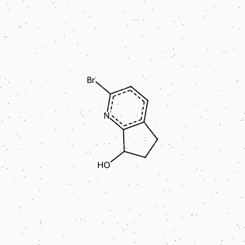 OC1CCc2ccc(Br)nc21